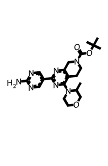 CC1COCCN1c1nc(-c2cnc(N)nc2)nc2c1CCN(C(=O)OC(C)(C)C)C2